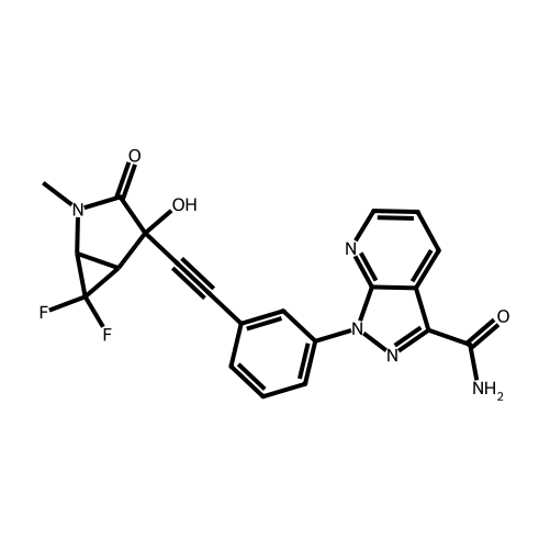 CN1C(=O)C(O)(C#Cc2cccc(-n3nc(C(N)=O)c4cccnc43)c2)C2C1C2(F)F